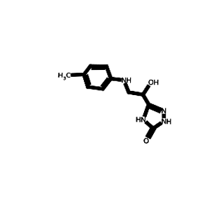 Cc1ccc(NCC(O)c2n[nH]c(=O)[nH]2)cc1